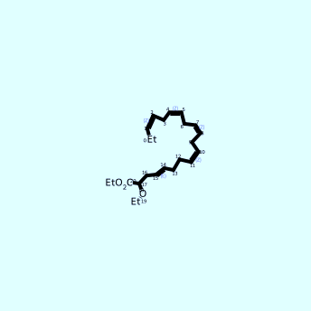 CC/C=C\C/C=C\C/C=C\C/C=C\CC/C=C/CC(OCC)C(=O)OCC